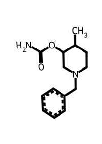 CC1CCN(Cc2ccccc2)CC1OC(N)=O